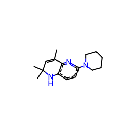 CC1=CC(C)(C)Nc2ccc(N3CCCCC3)nc21